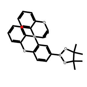 CC1(C)OB(c2ccc3c(c2)[Si]2(c4ccccc4Oc4ccccc42)c2ccccc2O3)OC1(C)C